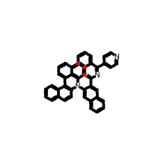 c1ccc2cc(N3c4ccc5ccccc5c4-c4cccc5cccc3c45)c(-c3nc(-c4ccncc4)c4ccccc4n3)cc2c1